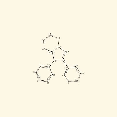 c1ccc(C2=NC3CCCCN3C2c2ccccc2)cc1